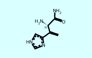 C=C(c1c[nH]cn1)[C@H](N)C(N)=O